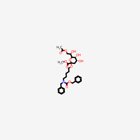 COC(=O)[C@@]1(OCCCCCN(Cc2ccccc2)C(=O)OCc2ccccc2)C[C@@H](O)[C@@H](O)C([C@H](O)COC(C)=O)O1